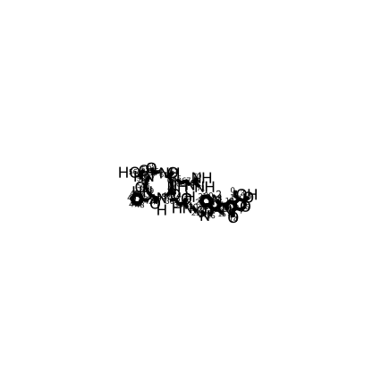 CC[C@@]1(O)C(=O)OCc2c1cc1n(c2=O)Cc2c-1nc1ccccc1c2/C=N\OCCNC(=O)CCC[C@@H]1NC(=O)[C@@H](Cc2ccccc2)NC(=O)[C@H](CC(=O)O)NC(=O)CNC(=O)[C@H](CCCNC(=N)N)NC1=O